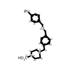 CC(C)c1ccc(COCc2ccc(CN3CCN(C(=O)O)CC3)cc2)cc1